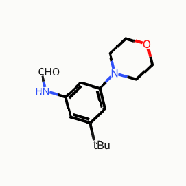 CC(C)(C)c1cc(NC=O)cc(N2CCOCC2)c1